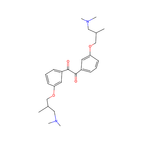 CC(COc1cccc(C(=O)C(=O)c2cccc(OCC(C)CN(C)C)c2)c1)CN(C)C